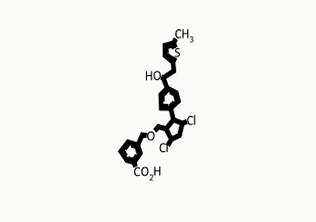 Cc1ccc(CC(O)c2ccc(C3C(Cl)CC(Cl)C3COCc3cccc(C(=O)O)c3)cc2)s1